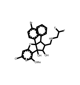 COc1nc(Cl)cc2c1C1(O)C(O)C(CNCC(F)F)C(c3ccccc3)C1(c1ccc(Br)cc1)O2